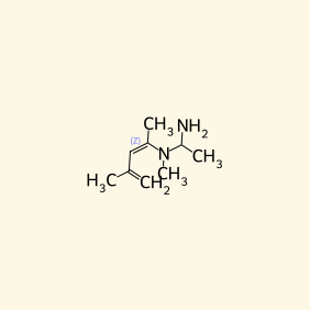 C=C(C)/C=C(/C)N(C)C(C)N